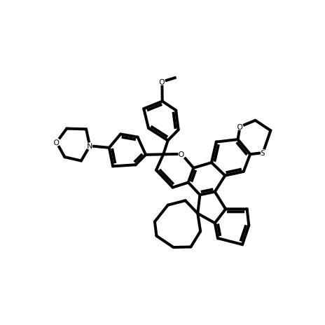 COc1ccc(C2(c3ccc(N4CCOCC4)cc3)C=Cc3c4c(c5cc6c(cc5c3O2)OCCS6)-c2ccccc2C42CCCCCCC2)cc1